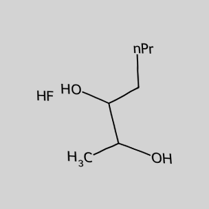 CCCCC(O)C(C)O.F